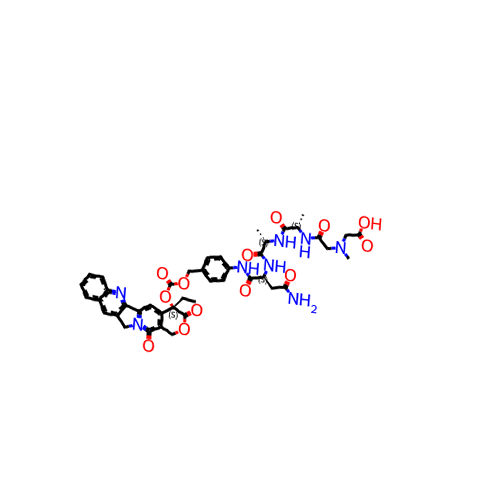 CC[C@@]1(OC(=O)OCc2ccc(NC(=O)[C@H](CC(N)=O)NC(=O)[C@H](C)NC(=O)[C@H](C)NC(=O)CN(C)CC(=O)O)cc2)C(=O)OCc2c1cc1n(c2=O)Cc2cc3ccccc3nc2-1